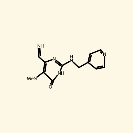 CNc1c(C=N)nc(NCc2ccncc2)[nH]c1=O